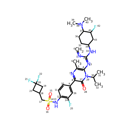 C=N/C(=N\c1c(C)nc(-c2ccc(NS(=O)(=O)CC3CC(F)(F)C3)c(F)c2)c(=O)n1C(C)C)NC1CCC(N(C)C)C(F)C1